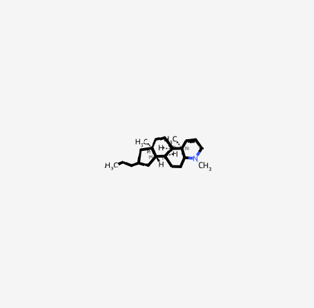 CCCC1C[C@H]2[C@@H]3CCC4N(C)CC=C[C@]4(C)[C@@H]3CC[C@]2(C)C1